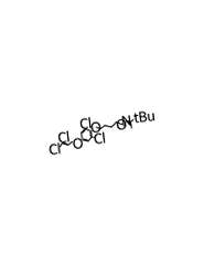 CC(=NOCCCCOc1c(Cl)cc(OCC=C(Cl)Cl)cc1Cl)C(C)(C)C